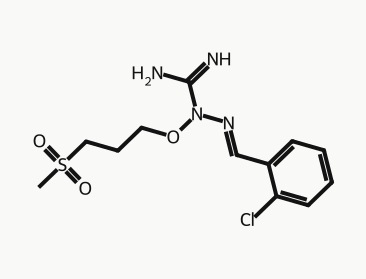 CS(=O)(=O)CCCON(/N=C/c1ccccc1Cl)C(=N)N